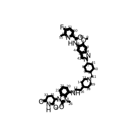 COc1cc2nn([C@H]3CC[C@H](CN4CCC(CCNc5cccc6c5n(C)c(=O)n6C5CCC(=O)NC5=O)CC4)CC3)cc2cc1NC(=O)c1ccc(F)c(C)n1